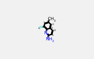 Cc1cc(F)c2nc(N)ccc2c1